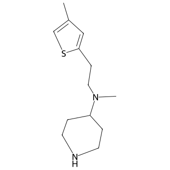 Cc1csc(CCN(C)C2CCNCC2)c1